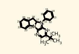 CC(C)(C)c1cnc2c(n1)N(c1ccccc1)C1Cc3ccccc3N21